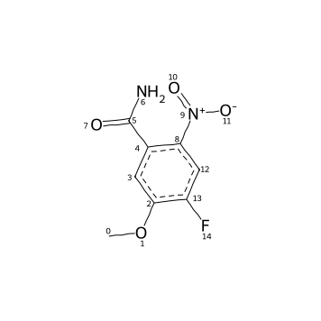 COc1cc(C(N)=O)c([N+](=O)[O-])cc1F